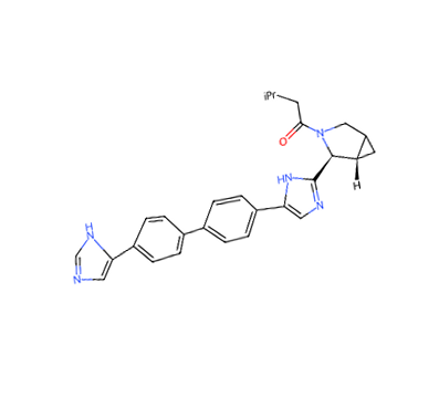 CC(C)CC(=O)N1CC2C[C@@H]2[C@H]1c1ncc(-c2ccc(-c3ccc(-c4cnc[nH]4)cc3)cc2)[nH]1